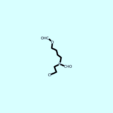 O=COCCCCN(C=O)CCCl